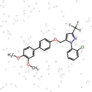 COc1ccc(-c2ccc(OCc3cc(C(F)(F)F)nn3-c3ccccc3Cl)cc2)cc1OC